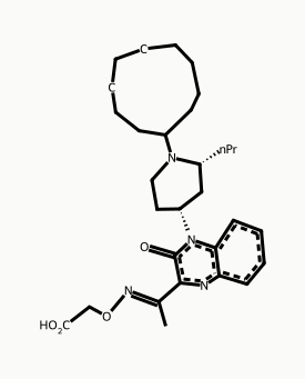 CCC[C@@H]1C[C@H](n2c(=O)c(/C(C)=N/OCC(=O)O)nc3ccccc32)CCN1C1CCCCCCCCC1